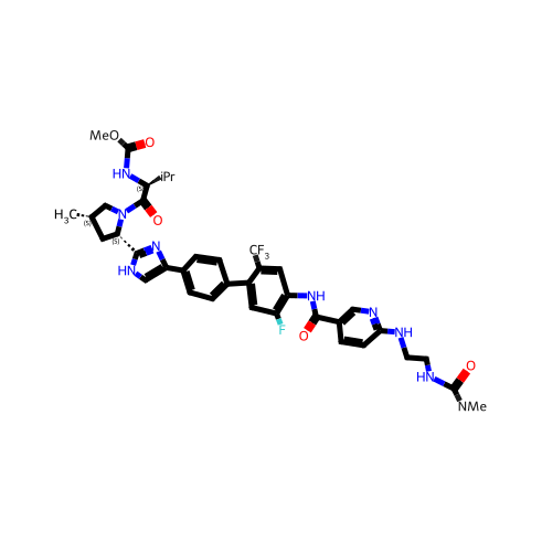 CNC(=O)NCCNc1ccc(C(=O)Nc2cc(C(F)(F)F)c(-c3ccc(-c4c[nH]c([C@@H]5C[C@H](C)CN5C(=O)[C@@H](NC(=O)OC)C(C)C)n4)cc3)cc2F)cn1